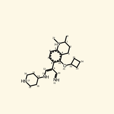 CC1CCc2c(ccc(/C(C=N)=C/NC3CCNCC3)c2OC2CCC2)N1C